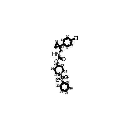 O=C(NCC1(c2ccc(Cl)cc2)CC1)OC1CCN(S(=O)(=O)c2ccccc2)CC1